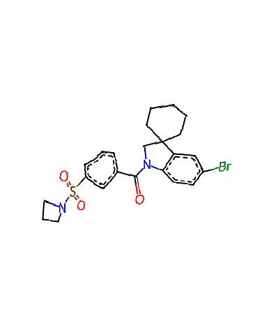 O=C(c1cccc(S(=O)(=O)N2CCC2)c1)N1CC2(CCCCC2)c2cc(Br)ccc21